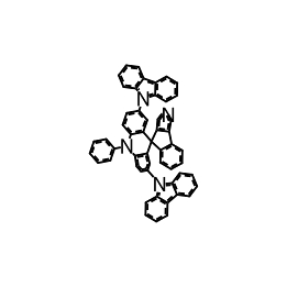 c1ccc(N2c3ccc(-n4c5ccccc5c5ccccc54)cc3C3(c4ccccc4-c4cnccc43)c3cc(-n4c5ccccc5c5ccccc54)ccc32)cc1